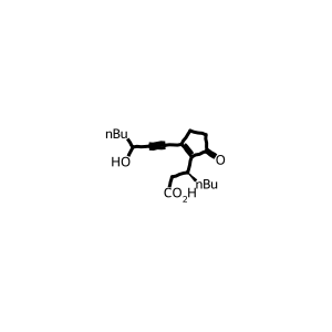 CCCCC(O)C#CC1=C([C@@H](CCCC)CC(=O)O)C(=O)CC1